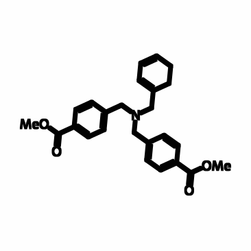 COC(=O)c1ccc(CN(CC2=CC=CCC2)Cc2ccc(C(=O)OC)cc2)cc1